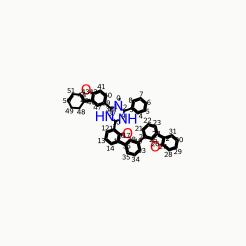 CN1C(c2ccccc2)NC(c2cccc3c2oc2c(-c4cccc5c4oc4ccccc45)cccc23)NC1c1ccc2oc3c(c2c1)CCC=C3